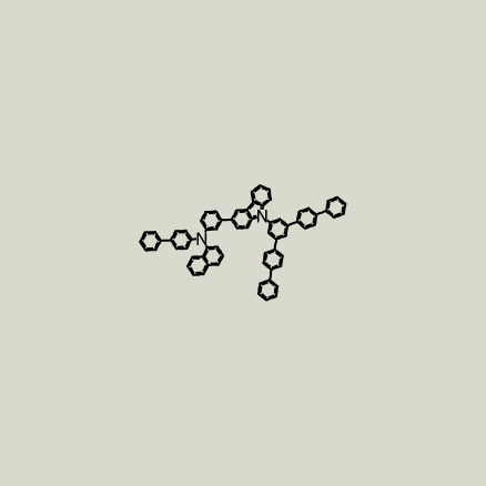 c1ccc(-c2ccc(-c3cc(-c4ccc(-c5ccccc5)cc4)cc(-n4c5ccccc5c5cc(-c6cccc(N(c7ccc(-c8ccccc8)cc7)c7cccc8ccccc78)c6)ccc54)c3)cc2)cc1